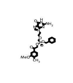 COc1cc(C(=O)COP(=O)(COCCn2cnc3c(=O)[nH]c(N)nc32)OCc2ccccc2)ccc1C